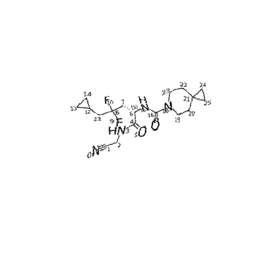 N#CCNC(=O)[C@H](CC(F)(F)CC1CC1)NC(=O)N1CCC2(CC1)CC2